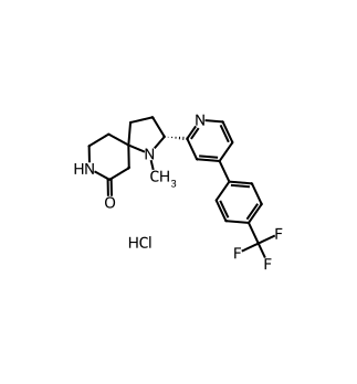 CN1[C@@H](c2cc(-c3ccc(C(F)(F)F)cc3)ccn2)CCC12CCNC(=O)C2.Cl